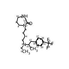 CCN(CCCCN1CCCNCC1=O)C(C)Cc1ccc(C(F)(F)F)cc1